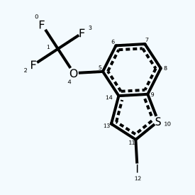 FC(F)(F)Oc1cccc2sc(I)cc12